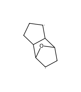 [CH]1CC2OC1C1CC[CH]C21